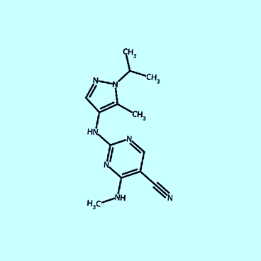 CNc1nc(Nc2cnn(C(C)C)c2C)ncc1C#N